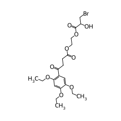 CCOc1cc(OCC)c(C(=O)CCC(=O)OCCOC(=O)C(O)CBr)cc1OCC